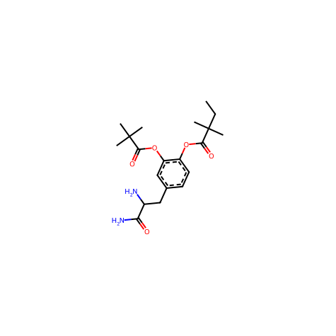 CCC(C)(C)C(=O)Oc1ccc(CC(N)C(N)=O)cc1OC(=O)C(C)(C)C